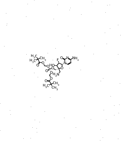 CC(C)(C)C(=O)OCOP(=O)(OCOC(=O)C(C)(C)C)OC[C@@]1(CN)O[C@@H](n2ccc(N)nc2=O)[C@H](F)[C@@H]1O